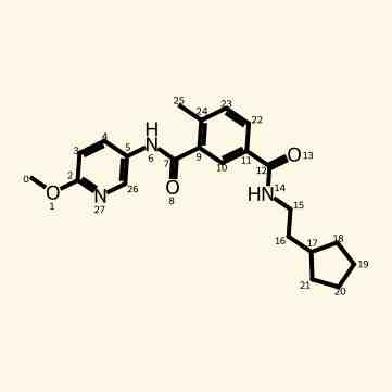 COc1ccc(NC(=O)c2cc(C(=O)NCCC3CCCC3)ccc2C)cn1